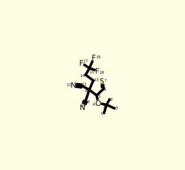 CC(C)(C)OC(C=S)C(C#N)(C#N)CCC(F)(F)F